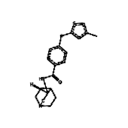 Cc1csc(Sc2ccc(C(=O)N[C@H]3CN4CCC3CC4)cc2)c1